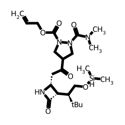 C=CCOC(=O)N1CC(C(=O)C[C@H]2NC(=O)[C@H]2[C@@H](CO[SiH](C)C)C(C)(C)C)CN1C(=O)N(C)C